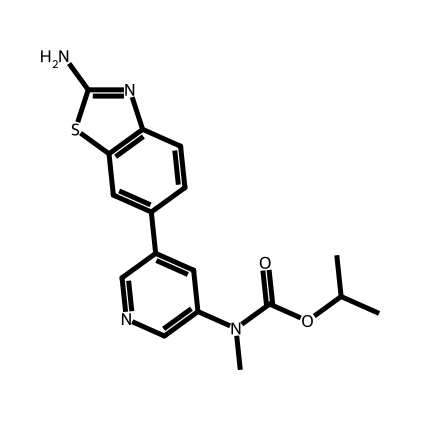 CC(C)OC(=O)N(C)c1cncc(-c2ccc3nc(N)sc3c2)c1